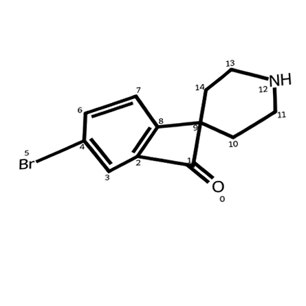 O=C1c2cc(Br)ccc2C12CCNCC2